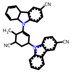 CC1C(N2c3ccc(C#N)cc3C3C=CC=CC32)=CC(n2c3ccccc3c3cc(C#N)ccc32)CC1C#N